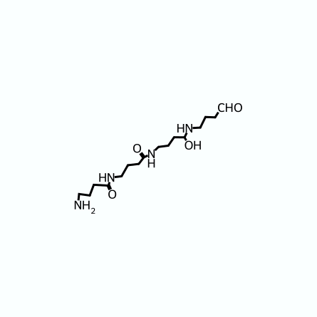 NCCCC(=O)NCCCC(=O)NCCCC(O)NCCCC=O